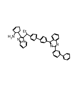 CCC(c1ccc(-c2ccc(-c3nc(-c4cccc(-c5ccccc5)c4)nc4ccccc34)cc2)cc1)c1c(C2CCC=CC2N)nc2ccccn12